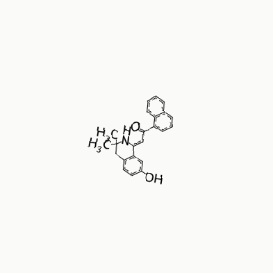 CC1(C)Cc2ccc(O)cc2C(=CC(=O)c2cccc3ccccc23)N1